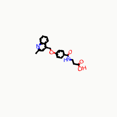 Cc1cc(COc2ccc(C(=O)NCCC(=O)O)cc2)c2ccccc2n1